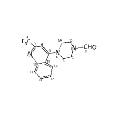 O=CN1CCN(c2cc(C(F)(F)F)nc3ccccc23)CC1